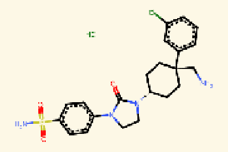 Cl.NC[C@]1(c2cccc(Cl)c2)CC[C@@H](N2CCN(c3ccc(S(N)(=O)=O)cc3)C2=O)CC1